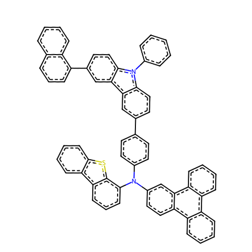 c1ccc(-n2c3ccc(-c4ccc(N(c5ccc6c7ccccc7c7ccccc7c6c5)c5cccc6c5sc5ccccc56)cc4)cc3c3cc(-c4cccc5ccccc45)ccc32)cc1